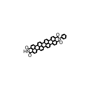 O=C1NC(=O)c2ccc3c4ccc5c6ccc7c8ccc9c%10c(ccc(c%11ccc(c%12ccc(c%13ccc1c2c%133)c4c%125)c6c%117)c%108)C(=O)N(c1ccccc1)C9=O